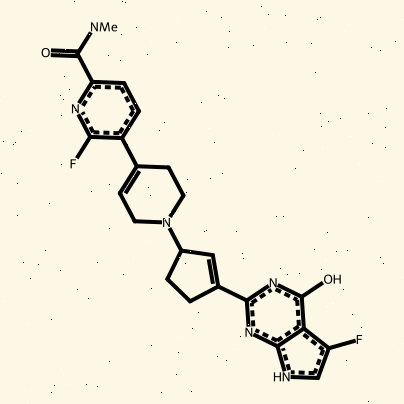 CNC(=O)c1ccc(C2=CCN(C3C=C(c4nc(O)c5c(F)c[nH]c5n4)CC3)CC2)c(F)n1